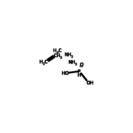 C.C=C.N.N.O=[PH](O)O